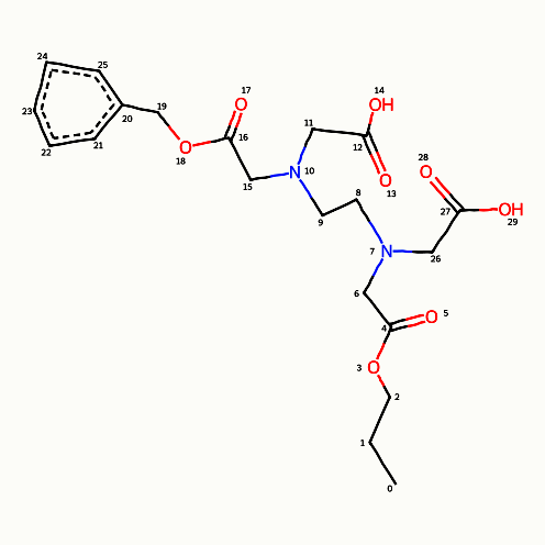 CCCOC(=O)CN(CCN(CC(=O)O)CC(=O)OCc1ccccc1)CC(=O)O